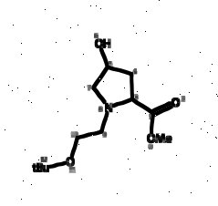 COC(=O)C1CC(O)CN1CCOC(C)(C)C